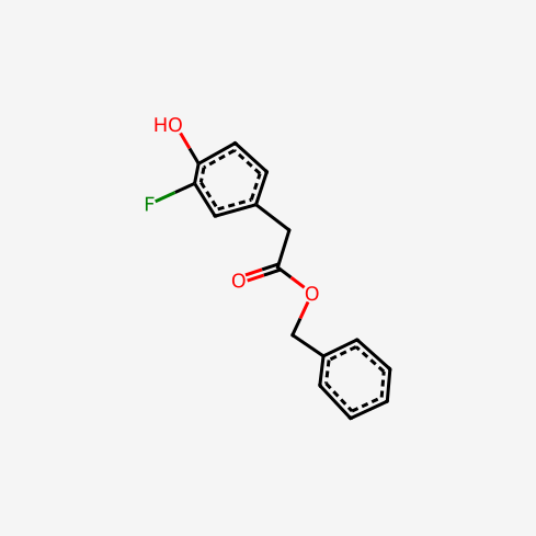 O=C(Cc1ccc(O)c(F)c1)OCc1ccccc1